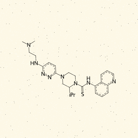 CC(C)C1CN(c2ccc(NCCN(C)C)nn2)CCN1C(=S)Nc1cccc2ncccc12